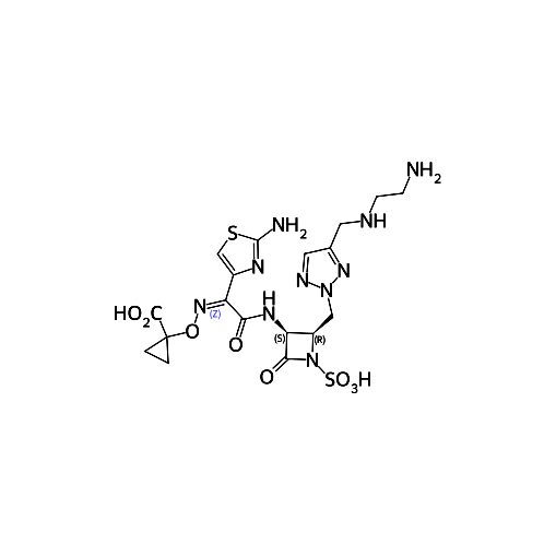 NCCNCc1cnn(C[C@@H]2[C@H](NC(=O)/C(=N\OC3(C(=O)O)CC3)c3csc(N)n3)C(=O)N2S(=O)(=O)O)n1